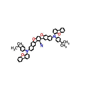 CC(C)c1ccc(N(c2ccc3cc4c(cc3c2)oc2cc3oc5cc6cc(N(c7ccc(C(C)C)cc7)c7cccc8c7oc7ccccc78)ccc6cc5c3c(C#N)c24)c2cccc3c2oc2ccccc23)cc1